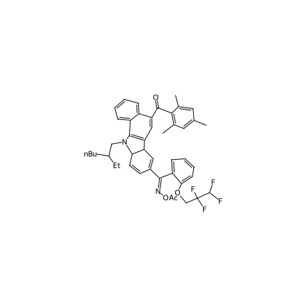 CCCCC(CC)CN1c2c(cc(C(=O)c3c(C)cc(C)cc3C)c3ccccc23)C2C=C(/C(=N/OC(C)=O)c3ccccc3OCC(F)(F)C(F)F)C=CC21